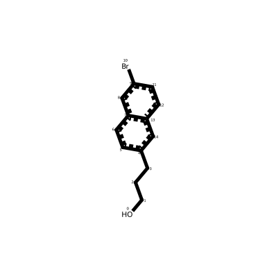 OCCCc1ccc2cc(Br)ccc2c1